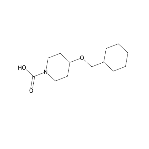 O=C(O)N1CCC(OCC2CCCCC2)CC1